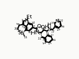 CCn1cc2c3c(cc(C(=O)N[C@@H](Cc4ccccc4)[C@H](O)CNCc4cccnc4)cc31)N(C)SCC2